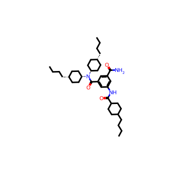 CCCCC1CCC(C(=O)Nc2cc(C(N)=O)cc(C(=O)N([C@H]3CC[C@@H](CCCC)CC3)[C@H]3CC[C@@H](CCCC)CC3)c2)CC1